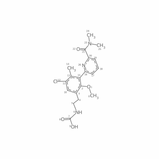 COc1c(CCNC(=O)O)cc(Cl)c(C)c1-c1cccc(C(=O)N(C)C)n1